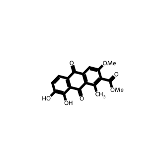 COC(=O)c1c(OC)cc2c(c1C)C(=O)c1c(ccc(O)c1O)C2=O